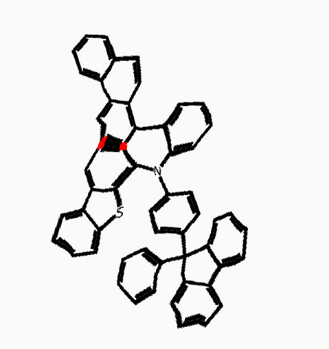 c1ccc(C2(c3ccc(N(c4ccccc4-c4cccc5c4ccc4ccccc45)c4cccc5c4sc4ccccc45)cc3)c3ccccc3-c3ccccc32)cc1